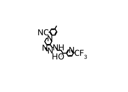 Cc1ccc(N2CCc3ncnc(NCC[C@@H](O)c4ccc(C(F)(F)F)nc4)c3C2)c(C#N)c1